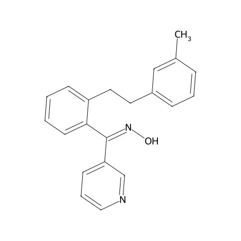 Cc1cccc(CCc2ccccc2C(=NO)c2cccnc2)c1